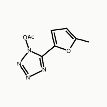 CC(=O)On1nnnc1-c1ccc(C)o1